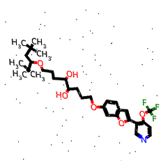 CC(C)(C)CC(OCCCC(O)C(O)CCCOc1ccc2cc(-c3cnccc3OC(F)(F)F)oc2c1)C(C)(C)C